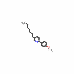 CCCCCCCc1ccc(-c2ccc(OC)cc2)nc1